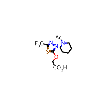 CC(=O)N1CCCCC1.O=C(O)COc1nnc(C(F)(F)F)s1